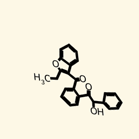 CCc1oc2ccccc2c1C(=O)c1ccccc1C(=O)C(O)c1ccccc1